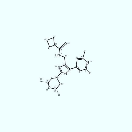 Cc1cc(-c2sc(N3C[C@@H](C)O[C@@H](C)C3)nc2CNC(=O)C2CCC2)cc(C)n1